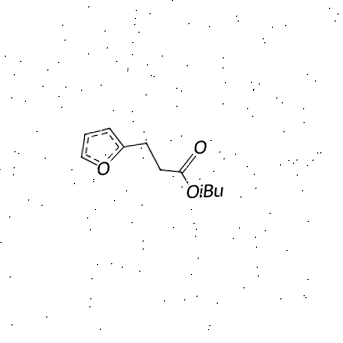 CC(C)COC(=O)CCc1ccco1